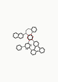 c1ccc(-c2cc(-c3ccccc3)nc(-c3cccc4c5ccccc5c5ccc(-c6ccc7c(c6)-c6ccccc6CCC7c6ccc7ccccc7c6)cc5c34)n2)cc1